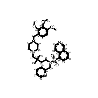 COc1ccc(CN2CCN(CC(C)(C)CCN(Cc3ccccn3)S(=O)(=O)c3cccc4cnccc34)CC2)c(OC)c1OC